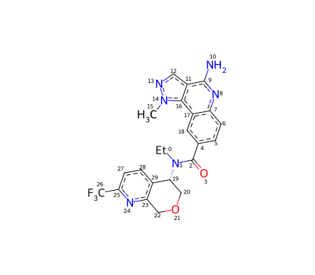 CCN(C(=O)c1ccc2nc(N)c3cnn(C)c3c2c1)[C@@H]1COCc2nc(C(F)(F)F)ccc21